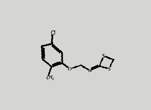 Cc1ccc(Cl)cc1OCN=C1SCS1